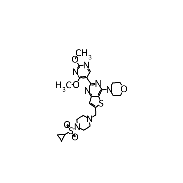 COc1ncc(-c2nc(N3CCOCC3)c3sc(CN4CCN(S(=O)(=O)C5CC5)CC4)cc3n2)c(OC)n1